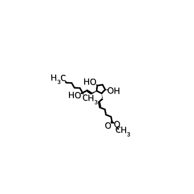 CCCCC[C@](C)(O)/C=C/[C@@H]1[C@@H](C/C=C\CCCC(=O)OC)[C@@H](O)C[C@H]1O